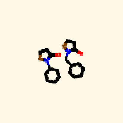 O=c1ccsn1-c1ccccc1.O=c1ccsn1Cc1ccccc1